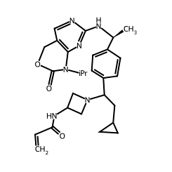 C=CC(=O)NC1CN(C(CC2CC2)c2ccc([C@H](C)Nc3ncc4c(n3)N(C(C)C)C(=O)OC4)cc2)C1